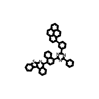 c1ccc(-c2nc(-c3cccc(-c4ccc5ccc6cccc7ccc4c5c67)c3)nc(-c3ccc(-c4nc5sc6ccccc6c5c5ccccc45)c4ccccc34)n2)cc1